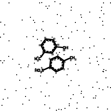 Cc1ccc(S(=O)(=O)O)cc1.Cc1cccc(O)c1